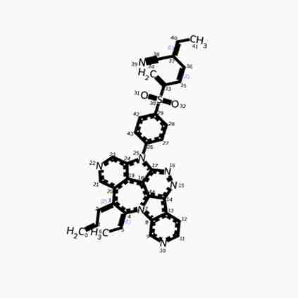 C=C/C=c1\c(=C/C)n2c3cnccc3c3nnc4c(c5c1cncc5n4-c1ccc(S(=O)(=O)C(=C)/C=C\C(C#N)=C/C)cc1)c32